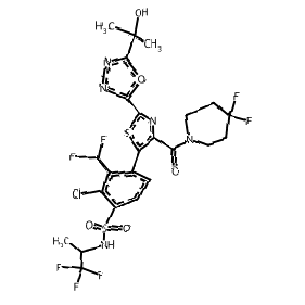 CC(NS(=O)(=O)c1ccc(-c2sc(-c3nnc(C(C)(C)O)o3)nc2C(=O)N2CCC(F)(F)CC2)c(C(F)F)c1Cl)C(F)(F)F